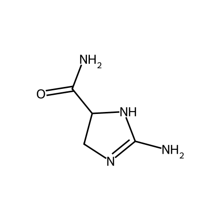 NC(=O)C1CN=C(N)N1